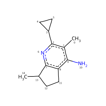 Cc1c(C2CC2)nc2c(c1N)CCC2C